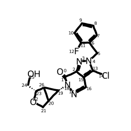 O=c1c2nn(Cc3ccccc3F)c(Cl)c2cnn1[C@@H]1C2CO[C@H](CO)C21